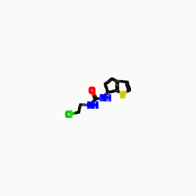 O=C(NCCCl)NC1CCc2ccsc21